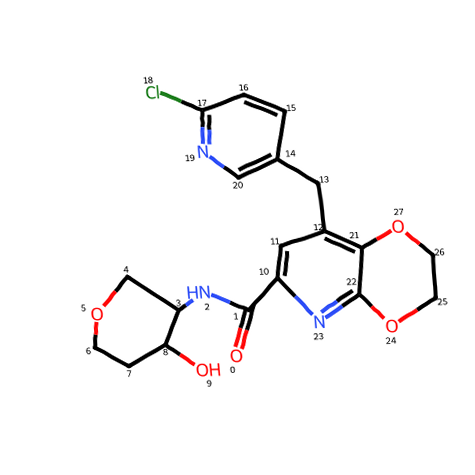 O=C(NC1COCCC1O)c1cc(Cc2ccc(Cl)nc2)c2c(n1)OCCO2